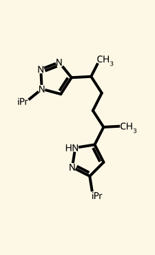 CC(C)c1cc(C(C)CCC(C)c2cn(C(C)C)nn2)[nH]n1